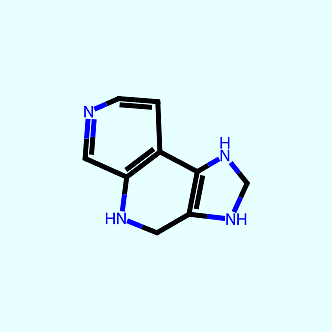 c1cc2c(cn1)NCC1=C2NCN1